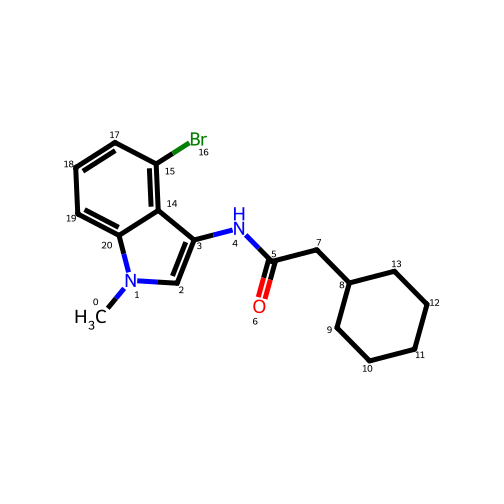 Cn1cc(NC(=O)CC2CCCCC2)c2c(Br)cccc21